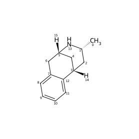 C[C@@H]1C[C@H]2C[C@H](Cc3ccccc32)N1